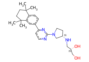 CC1(C)CCC(C)(C)c2cc(-c3ccnc(N4CC[C@H](NC[C@H](O)CO)C4)n3)ccc21